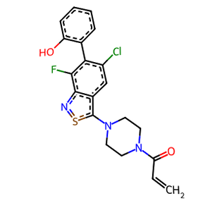 C=CC(=O)N1CCN(c2snc3c(F)c(-c4ccccc4O)c(Cl)cc23)CC1